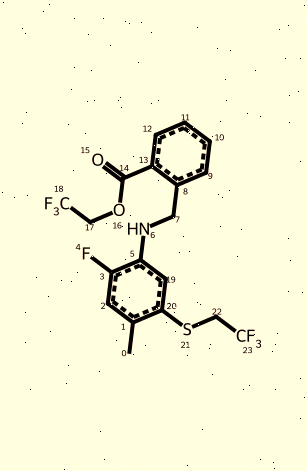 Cc1cc(F)c(NCc2ccccc2C(=O)OCC(F)(F)F)cc1SCC(F)(F)F